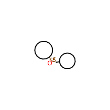 [O-][S+](SCC1CCCCCCCCCCCCCC1)C1CCCCCCCCCCCCCCCC1